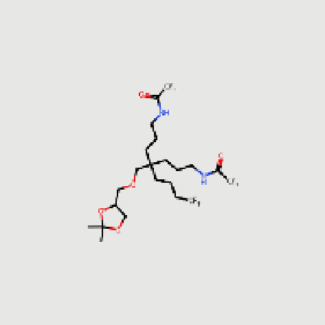 CC1(C)OCC(COCC(CCCNC(=O)C(F)(F)F)(CCCNC(=O)C(F)(F)F)CCCC(F)(F)F)O1